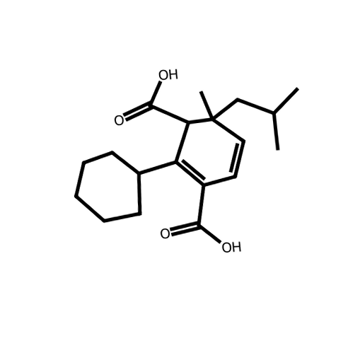 CC(C)CC1(C)C=CC(C(=O)O)=C(C2CCCCC2)C1C(=O)O